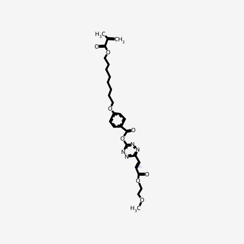 C=C(C)C(=O)OCCCCCCCCOc1ccc(C(=O)Oc2nnc(/C=C/C(=O)OCCOC)nn2)cc1